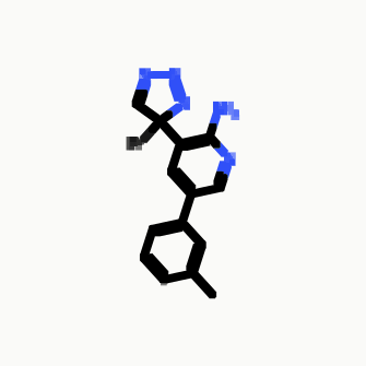 Cc1[c]ccc(-c2cnc(N)c(C3(C(C)C)C=NN=N3)c2)c1